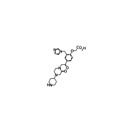 O=C(O)COc1ccc(C(=O)CN2CCN(C3CCNCC3)CC2=O)cc1Cn1ccnc1